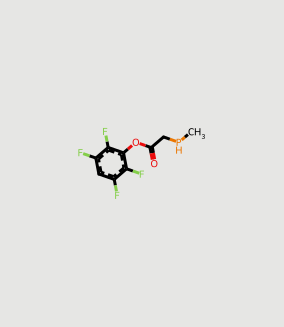 CPCC(=O)Oc1c(F)c(F)cc(F)c1F